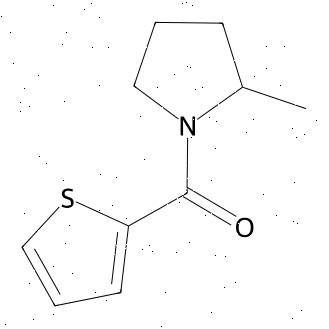 CC1CCCN1C(=O)c1cccs1